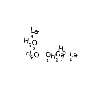 O.O.O.[GaH3].[La].[La]